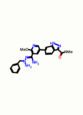 CNC(=O)c1n[nH]c2cc(-c3cnc(OC)c(/C(N)=N/N(N)Cc4ccccc4)c3)ccc12